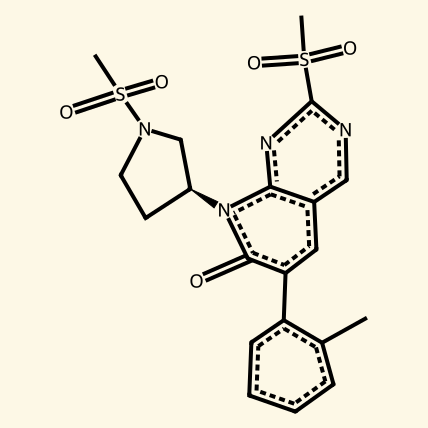 Cc1ccccc1-c1cc2cnc(S(C)(=O)=O)nc2n([C@H]2CCN(S(C)(=O)=O)C2)c1=O